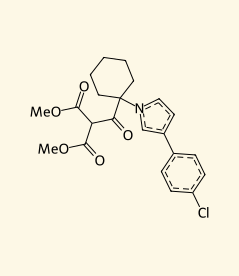 COC(=O)C(C(=O)OC)C(=O)C1(n2ccc(-c3ccc(Cl)cc3)c2)CCCCC1